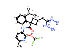 Cc1ccc(NC(=O)C2(c3ccccc3C(C)C)CC(C/C(=N/N)NN)C2)c(OC(F)F)n1